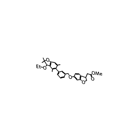 CCOC1c2c(cc(C)c(-c3cccc(COc4ccc5c(c4)OCC5CC(=O)OC)c3)c2C)OC1(C)C